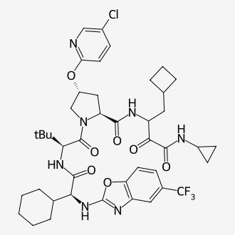 CC(C)(C)[C@H](NC(=O)[C@@H](Nc1nc2cc(C(F)(F)F)ccc2o1)C1CCCCC1)C(=O)N1C[C@H](Oc2ccc(Cl)cn2)C[C@H]1C(=O)NC(CC1CCC1)C(=O)C(=O)NC1CC1